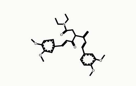 C=C(/C=C/c1ccc(OC)c(OC)c1)C(CC(=O)N(CC)CC)C(=O)/C=C/c1ccc(OC)c(OC)c1